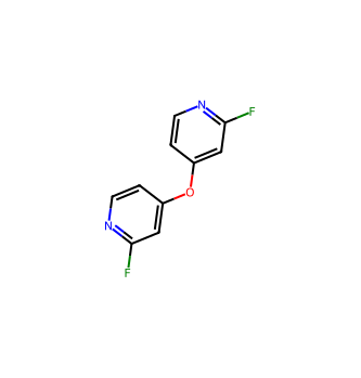 Fc1cc(Oc2ccnc(F)c2)ccn1